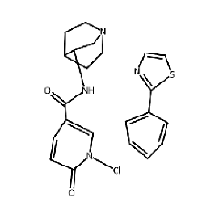 O=C(NC1CN2CCC1CC2)c1ccc(=O)n(Cl)c1.c1ccc(-c2nccs2)cc1